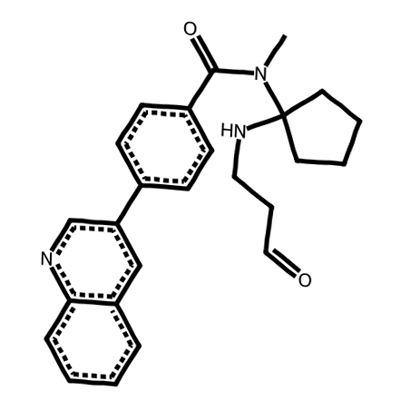 CN(C(=O)c1ccc(-c2cnc3ccccc3c2)cc1)C1(NCCC=O)CCCC1